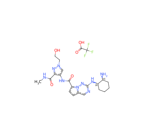 CNC(=O)c1nn(CCO)cc1NC(=O)c1ccc2cnc(N[C@@H]3CCCC[C@@H]3N)nn12.O=C(O)C(F)(F)F